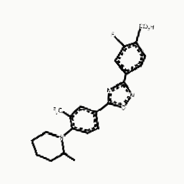 CC1CCCCN1c1ccc(-c2nc(-c3ccc(C(=O)O)c(F)c3)no2)cc1C(F)(F)F